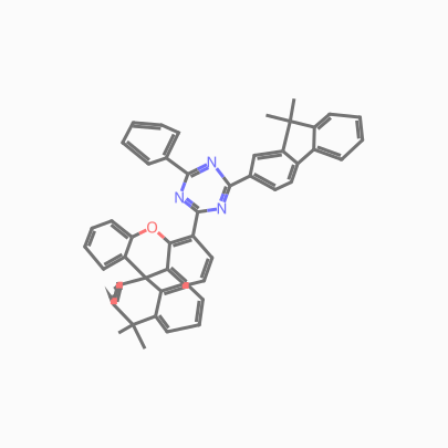 CC1(C)c2ccccc2-c2ccc(-c3nc(-c4ccccc4)nc(-c4cccc5c4Oc4ccccc4C54c5ccccc5C(C)(C)c5ccccc54)n3)cc21